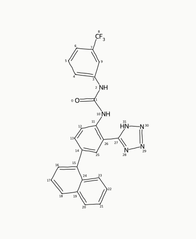 O=C(Nc1cccc(C(F)(F)F)c1)Nc1ccc(-c2cccc3ccccc23)cc1-c1nnn[nH]1